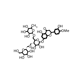 COc1ccc(C2CC(=O)c3c(O)cc(O[C@@H]4OC(CO[C@@H]5OC(C)[C@H](O)C(O)[C@@H]5O)[C@@H](COC[C@H]5OC(CO)[C@@H](O)C(O)[C@@H]5O)C(O)[C@@H]4O)cc3O2)cc1O